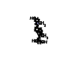 C=C1CC[C@H](O)C/C1=C/C=C1CCC[C@@]2(C)C1CC[C@@H]2[C@H](C)CCCC(O)(CC)CCO